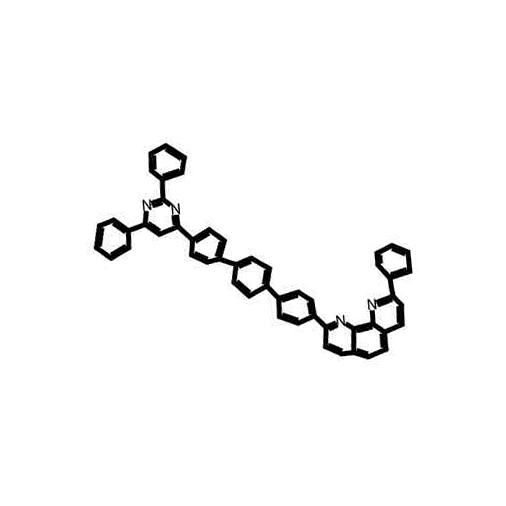 c1ccc(-c2cc(-c3ccc(-c4ccc(-c5ccc(-c6ccc7ccc8ccc(-c9ccccc9)nc8c7n6)cc5)cc4)cc3)nc(-c3ccccc3)n2)cc1